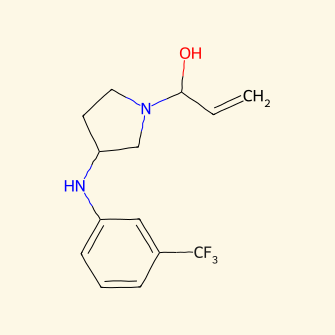 C=CC(O)N1CCC(Nc2cccc(C(F)(F)F)c2)C1